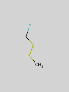 CSSCF